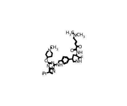 CC(C)c1cnn2c(NCc3ccc(C4CNC(F)C(NC(=O)C(=O)/C=C/CN(C)C)C4)cc3)nc(OC3CCN(C)CC3)nc12